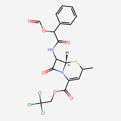 CC1C=C(C(=O)OCC(Cl)(Cl)Cl)N2C(=O)C(NC(=O)C(OC=O)c3ccccc3)[C@@H]2S1